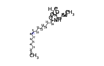 CCCCCCCC/C=C\CCCCCCCC(=O)NC(CC[Se]C)C(=O)OC